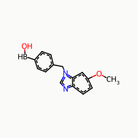 COc1ccc2ncn(Cc3ccc(BO)cc3)c2c1